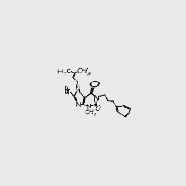 CC(C)=CCn1c(Br)nc2c1c(=O)n(CCCc1ccccc1)c(=O)n2C